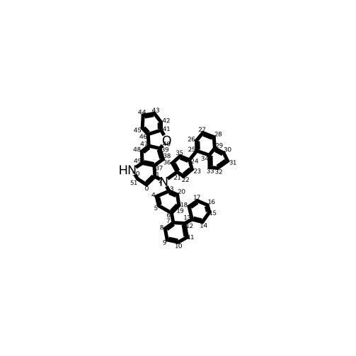 C1=C(N(c2ccc(-c3ccccc3-c3ccccc3)cc2)c2ccc(-c3cccc4ccccc34)cc2)c2cc3oc4ccccc4c3cc2NC1